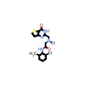 CCc1cccc(C)c1NC(=O)CN(CC)Cc1nc2ccsc2c(=O)[nH]1